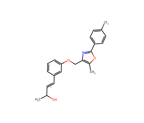 Cc1oc(-c2ccc(C(F)(F)F)cc2)nc1COc1cccc(/C=C/C(C)O)c1